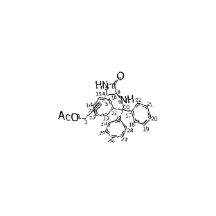 CC(=O)OCC#C[C@@H]1NC(=O)[C@H]1NC(c1ccccc1)(c1ccccc1)c1ccccc1